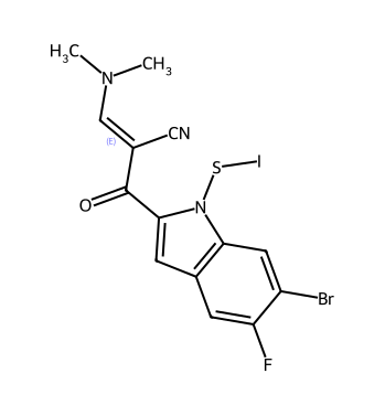 CN(C)/C=C(\C#N)C(=O)c1cc2cc(F)c(Br)cc2n1SI